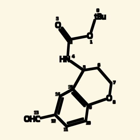 CC(C)(C)OC(=O)NC1CCOc2ccc(C=O)cc21